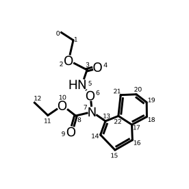 CCOC(=O)NON(C(=O)OCC)c1cccc2ccccc12